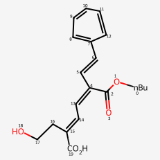 CCCCOC(=O)C(C=Cc1ccccc1)=CC=C(CCO)C(=O)O